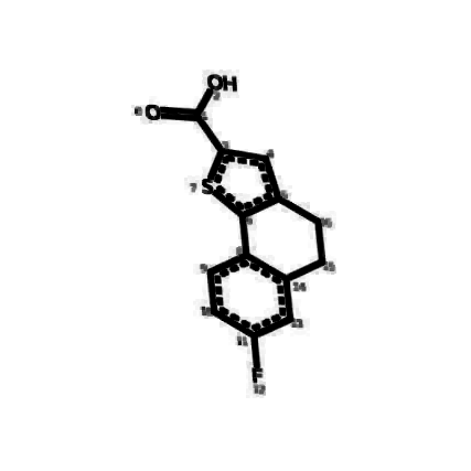 O=C(O)c1cc2c(s1)-c1ccc(F)cc1CC2